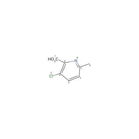 Cc1ccc(Cl)c(C(=O)O)n1